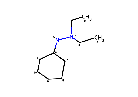 CCN(CC)[N]C1CCCCC1